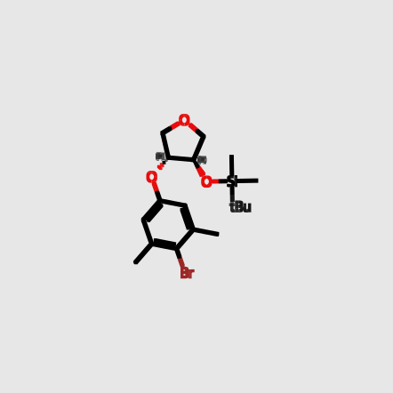 Cc1cc(O[C@@H]2COC[C@H]2O[Si](C)(C)C(C)(C)C)cc(C)c1Br